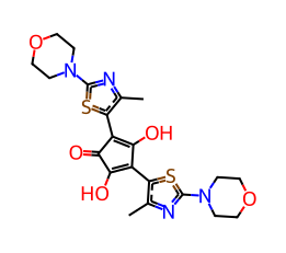 Cc1nc(N2CCOCC2)sc1C1=C(O)C(c2sc(N3CCOCC3)nc2C)=C(O)C1=O